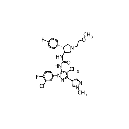 COCCN1C[C@@H](NC(=O)Nc2c(C)c(-c3cnn(C)c3)nn2-c2ccc(F)c(Cl)c2)[C@H](c2ccc(F)cc2)C1